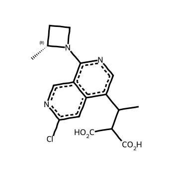 CC(c1cnc(N2CC[C@H]2C)c2cnc(Cl)cc12)C(C(=O)O)C(=O)O